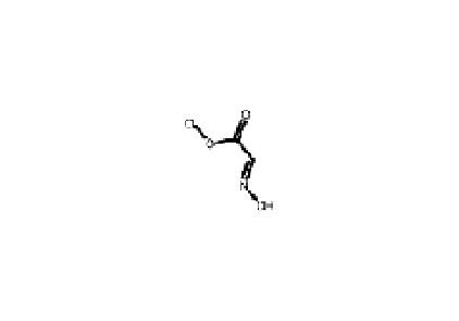 O=C(C=NO)OCl